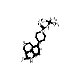 CC(C)(C)OC(=O)N1CCC(c2ccc3[nH]c(Br)c4c3c2COC4)CC1